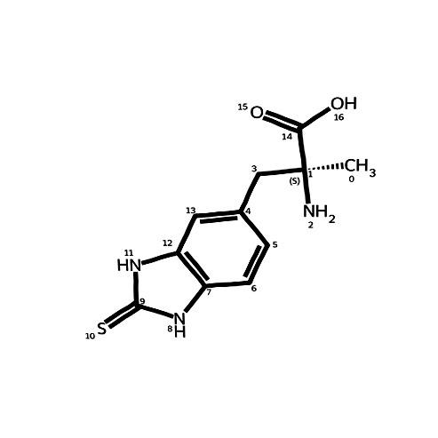 C[C@](N)(Cc1ccc2[nH]c(=S)[nH]c2c1)C(=O)O